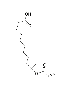 C=CC(=O)OC(C)(C)CCCCCCCC(C)C(=O)O